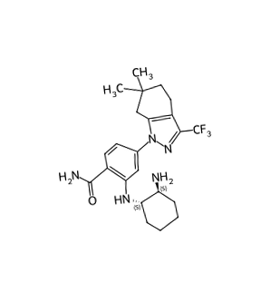 CC1(C)CCc2c(C(F)(F)F)nn(-c3ccc(C(N)=O)c(N[C@H]4CCCC[C@@H]4N)c3)c2C1